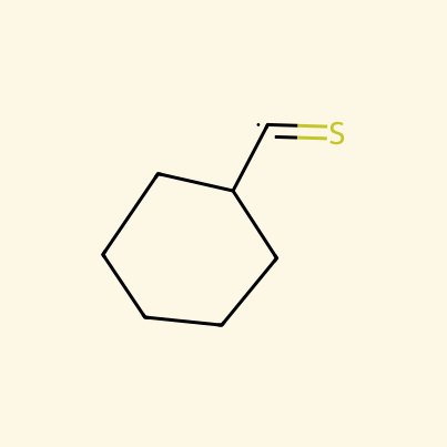 S=[C]C1CCCCC1